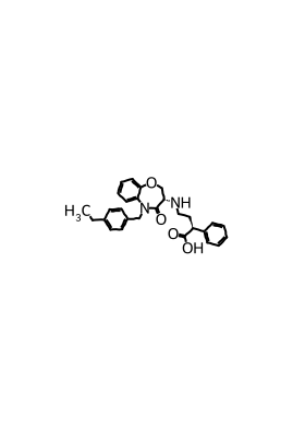 CCc1ccc(CN2C(=O)[C@@H](NCC[C@H](C(=O)O)c3ccccc3)COc3ccccc32)cc1